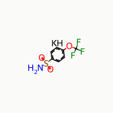 NS(=O)(=O)c1ccc(OC(F)(F)F)cc1.[KH]